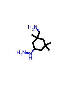 CC1(C)CC(NN)CC(C)(CN)C1